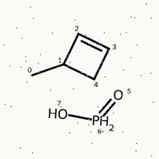 CC1C=CC1.O=[PH2]O